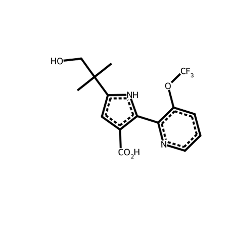 CC(C)(CO)c1cc(C(=O)O)c(-c2ncccc2OC(F)(F)F)[nH]1